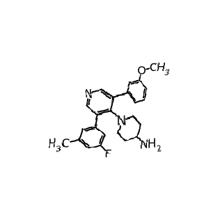 COc1cccc(-c2cncc(-c3cc(C)cc(F)c3)c2N2CCC(N)CC2)c1